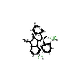 CC1[CH]([Ti+3])C2C=CC=CC2C1[Si](C)(c1ccccc1)c1ccccc1.[Cl-].[Cl-].[Cl-]